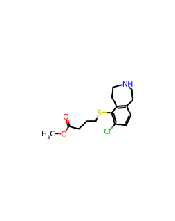 COC(=O)CCCSc1c(Cl)ccc2c1CCNCC2